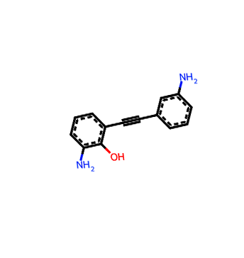 Nc1cccc(C#Cc2cccc(N)c2O)c1